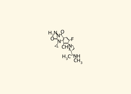 CN[C@@H](C)[C@@H]1CCN(c2c(F)cc3c(=O)n(N)c(=O)n(C4CC4)c3c2C)C1